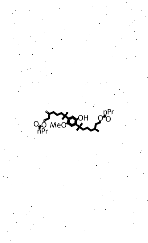 CCCC(=O)OCCC(C)CCCC(C)(C)c1cc(OC)c(C(C)(C)CCCC(C)CCOC(=O)CCC)cc1O